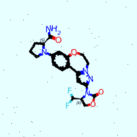 NC(=O)[C@@H]1CCCN1c1ccc2c(c1)OCCn1nc(N3C(=O)OC[C@H]3C(F)F)cc1-2